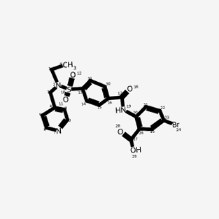 CCN(Cc1ccncc1)S(=O)(=O)c1ccc(C(=O)Nc2ccc(Br)cc2C(=O)O)cc1